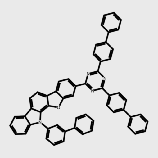 c1ccc(-c2ccc(-c3nc(-c4ccc(-c5ccccc5)cc4)nc(-c4ccc5c(c4)oc4c5ccc5c6ccccc6n(-c6cccc(-c7ccccc7)c6)c54)n3)cc2)cc1